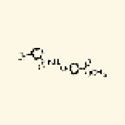 COC(=O)c1ccc(OCCNC(=O)c2cccc(Cl)c2)cc1